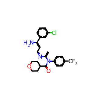 C=C(/N=C\C=C(/N)c1cccc(Cl)c1)N(C(=O)C1CCOCC1)c1ccc(C(F)(F)F)cc1